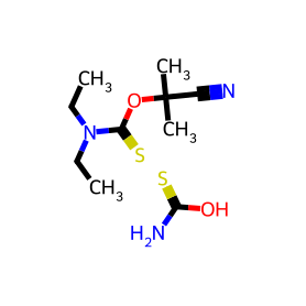 CCN(CC)C(=S)OC(C)(C)C#N.NC(O)=S